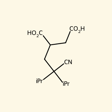 CC(C)C(C#N)(CC(CC(=O)O)C(=O)O)C(C)C